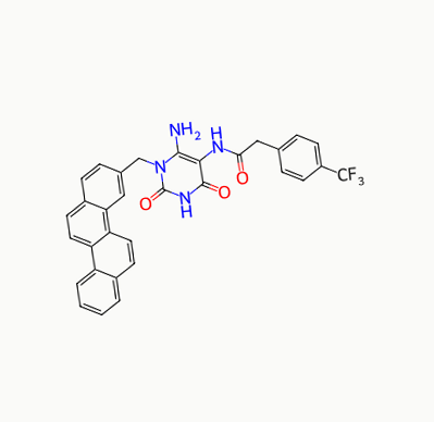 Nc1c(NC(=O)Cc2ccc(C(F)(F)F)cc2)c(=O)[nH]c(=O)n1Cc1ccc2ccc3c4ccccc4ccc3c2c1